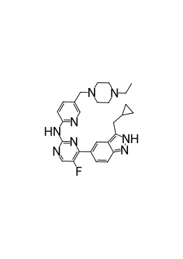 CCN1CCN(Cc2ccc(Nc3ncc(F)c(-c4ccc5n[nH]c(CC6CC6)c5c4)n3)nc2)CC1